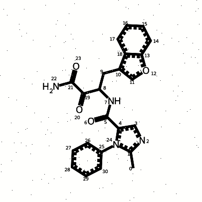 Cc1ncc(C(=O)NC(Cc2coc3ccccc23)C(=O)C(N)=O)n1-c1ccccc1